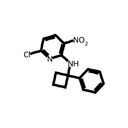 O=[N+]([O-])c1ccc(Cl)nc1NC1(c2ccccc2)CCC1